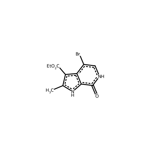 CCOC(=O)c1c(C)[nH]c2c(=O)[nH]cc(Br)c12